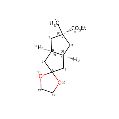 CCOC(=O)[C@]1(C)C[C@H]2CC3(C[C@H]2C1)OCCO3